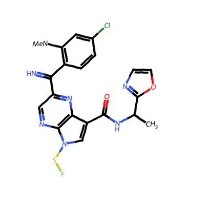 CNc1cc(Cl)ccc1C(=N)c1cnc2c(n1)c(C(=O)NC(C)c1ncco1)cn2SF